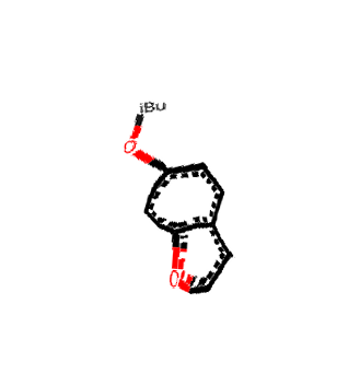 CCC(C)Oc1ccc2ccoc2c1